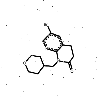 O=C1CCc2cc(Br)cnc2N1CC1CCOCC1